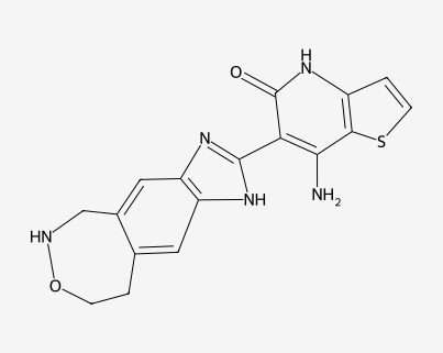 Nc1c(-c2nc3cc4c(cc3[nH]2)CCONC4)c(=O)[nH]c2ccsc12